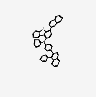 c1ccc(-c2c(-c3ccc(N(c4ccccc4)c4ccc(-c5ccc6ccccc6c5)c5sc6ccccc6c45)cc3)ccc3ccccc23)cc1